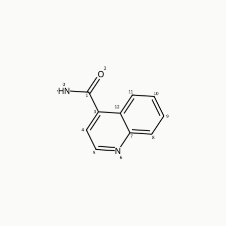 [NH]C(=O)c1ccnc2ccccc12